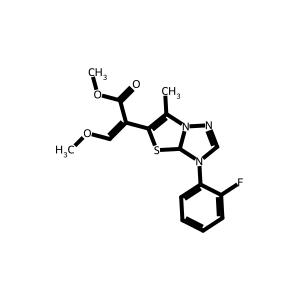 CO/C=C(\C(=O)OC)C1=C(C)N2N=CN(c3ccccc3F)C2S1